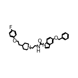 O=C(NCCN1CCC(CCOc2ccc(F)cc2)CC1)n1ccc2cc(OCc3ccccc3)ccc21